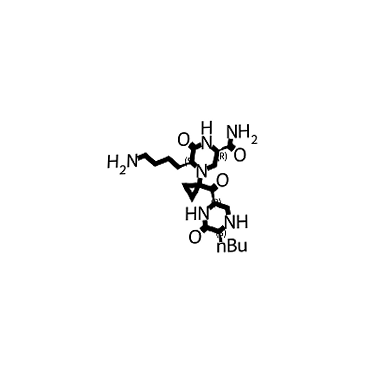 CCCC[C@@H]1NC[C@H](C(=O)C2(N3C[C@H](C(N)=O)NC(=O)[C@@H]3CCCCN)CC2)NC1=O